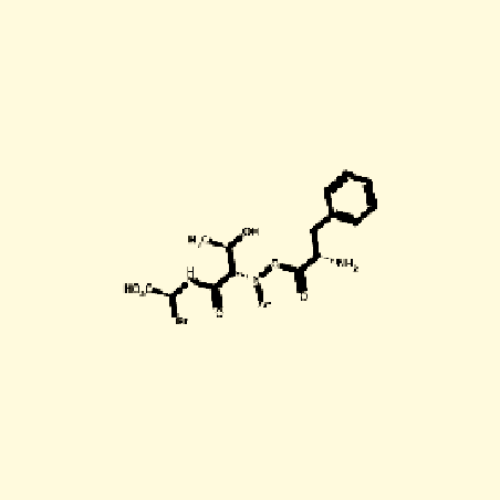 CC(=O)N(OC(=O)[C@@H](N)Cc1ccccc1)[C@H](C(=O)N[C@H](C(=O)O)C(C)C)[C@@H](C)O